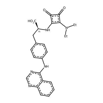 CCN(CC)c1c(N[C@@H](Cc2ccc(Nc3ncnc4ccccc34)cc2)C(=O)O)c(=O)c1=O